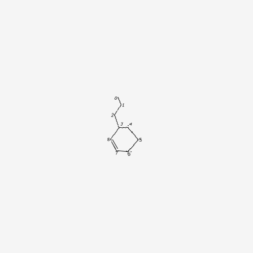 CCCC1[CH]C[CH]C=C1